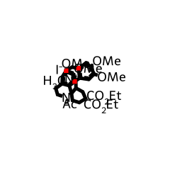 CCOC(=O)C1(C(=O)OCC)CCC2(c3cc(OC)c(OC)cc3CCN2C(C)=O)C(C2=[N+](C)CCc3cc(OC)c(OC)cc32)C1.[I-]